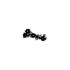 O=C(NCc1ccc(F)c(F)c1)Nc1ccc(NS(=O)(=O)c2ccccc2-c2ccccc2)cc1